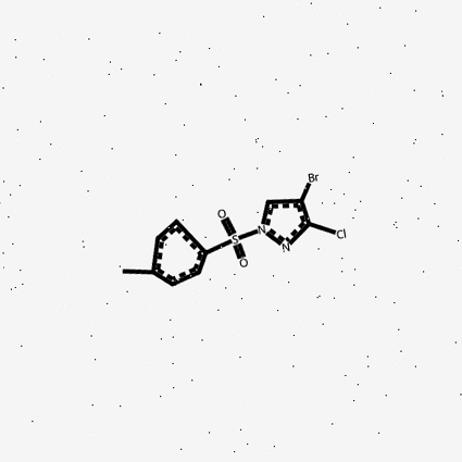 Cc1ccc(S(=O)(=O)n2cc(Br)c(Cl)n2)cc1